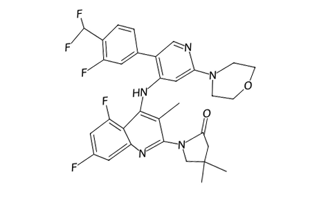 Cc1c(N2CC(C)(C)CC2=O)nc2cc(F)cc(F)c2c1Nc1cc(N2CCOCC2)ncc1-c1ccc(C(F)F)c(F)c1